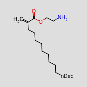 C=C(CCCCCCCCCCCCCCCCCCC)C(=O)OCCN